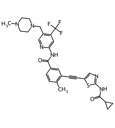 Cc1ccc(C(=O)Nc2cc(C(F)(F)F)c(CN3CCN(C)CC3)cn2)cc1C#Cc1cnc(NC(=O)C2CC2)s1